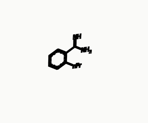 CCCc1ccccc1C(=N)N